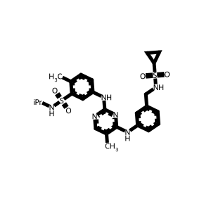 Cc1ccc(Nc2ncc(C)c(Nc3cccc(CNS(=O)(=O)C4CC4)c3)n2)cc1S(=O)(=O)NC(C)C